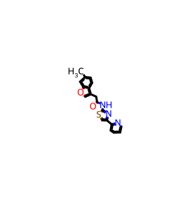 Cc1ccc2c(CC(=O)Nc3nc(-c4ccccn4)cs3)coc2c1